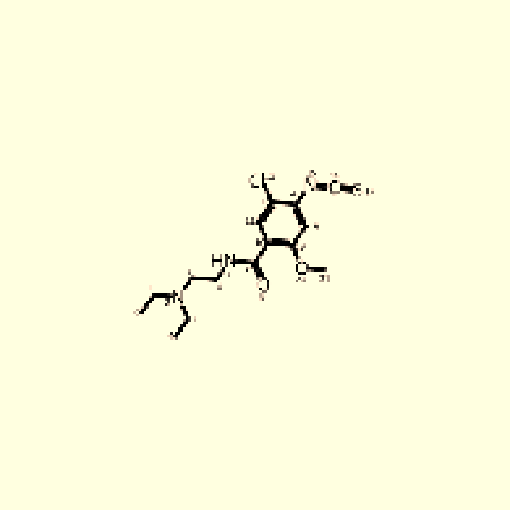 CCN(CC)CCNC(=O)c1cc(Cl)c(N=C=S)cc1OC